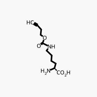 C#CCCOC(=O)NCCCC[C@H](N)C(=O)O